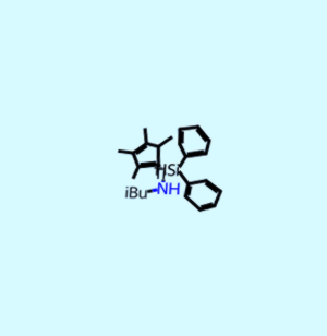 CCC(C)[NH][Ti]([C]1=C(C)C(C)=C(C)C1C)[SiH](c1ccccc1)c1ccccc1